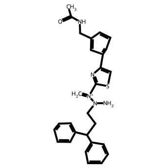 C=[N+](c1nc(-c2cccc(CNC(C)=O)c2)cs1)N(N)CCC(c1ccccc1)c1ccccc1